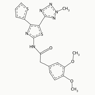 COc1ccc(CC(=O)Nc2nc(-c3cccs3)c(-c3nnn(C)n3)s2)cc1OC